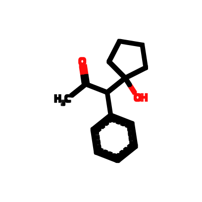 CC(=O)C(c1ccccc1)C1(O)CCCC1